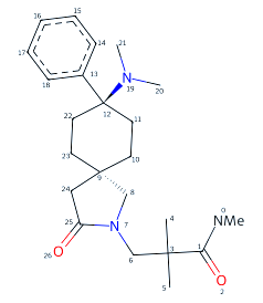 CNC(=O)C(C)(C)CN1C[C@]2(CC[C@](c3ccccc3)(N(C)C)CC2)CC1=O